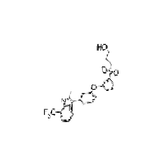 Cc1nc2c(C(F)(F)F)cccn2c1-c1cccc(Oc2cccc(S(=O)(=O)CCCO)c2)c1